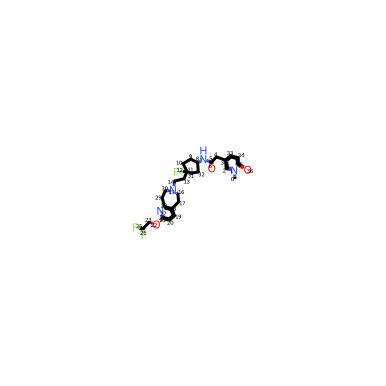 Cn1cc(CC(=O)NC2CCC(F)(CCN3CCc4ccc(OCC(F)F)nc4CC3)CC2)ccc1=O